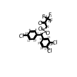 O=C(CS(=O)(=O)C(c1ccc(Cl)cc1)c1ccc(Cl)c(Cl)c1)C(F)(F)F